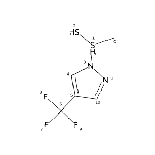 C[SH](S)n1cc(C(F)(F)F)cn1